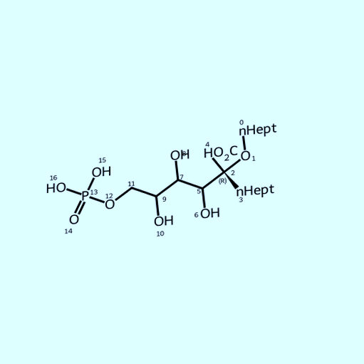 CCCCCCCO[C@@](CCCCCCC)(C(=O)O)C(O)C(O)C(O)COP(=O)(O)O